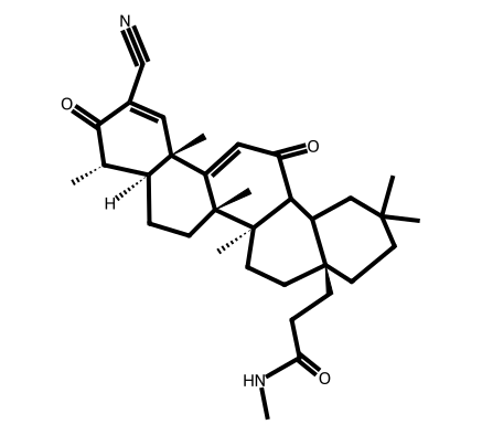 CNC(=O)CC[C@]12CCC(C)(C)CC1C1C(=O)C=C3[C@@]4(C)C=C(C#N)C(=O)[C@@H](C)[C@@H]4CC[C@@]3(C)[C@]1(C)CC2